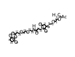 CC(=O)[C@H](C)OCCOCCSC1CC(=O)N(CCC(=O)NCCOCCOCCC(=O)ON2C(=O)CCC2=O)C1=O